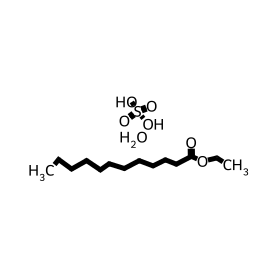 CCCCCCCCCCCC(=O)OCC.O.O=S(=O)(O)O